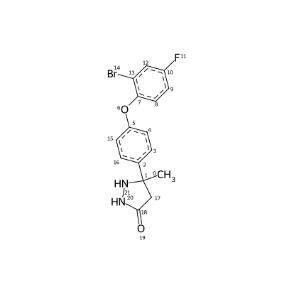 CC1(c2ccc(Oc3ccc(F)cc3Br)cc2)CC(=O)NN1